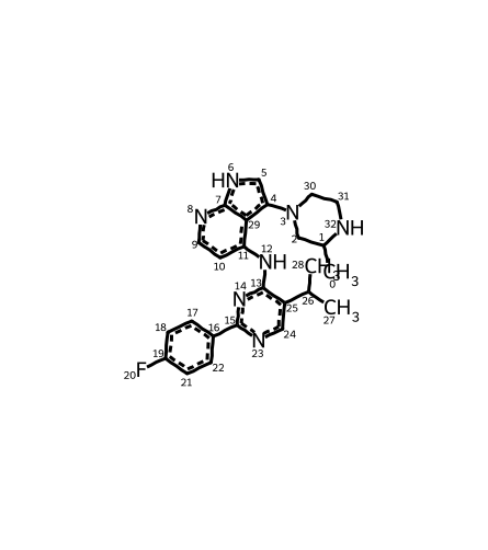 CC1CN(c2c[nH]c3nccc(Nc4nc(-c5ccc(F)cc5)ncc4C(C)C)c23)CCN1